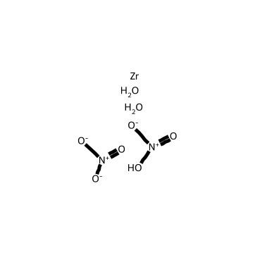 O.O.O=[N+]([O-])O.O=[N+]([O-])[O-].[Zr]